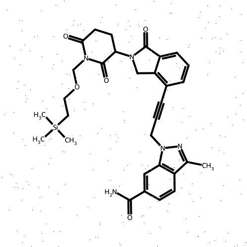 Cc1nn(CC#Cc2cccc3c2CN(C2CCC(=O)N(COCC[Si](C)(C)C)C2=O)C3=O)c2cc(C(N)=O)ccc12